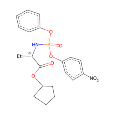 CC[C@H](NP(=O)(Oc1ccccc1)Oc1ccc([N+](=O)[O-])cc1)C(=O)OC1CCCC1